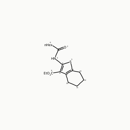 CCCCCCC(=O)Nc1sc2c(c1C(=O)OCC)CCCC2